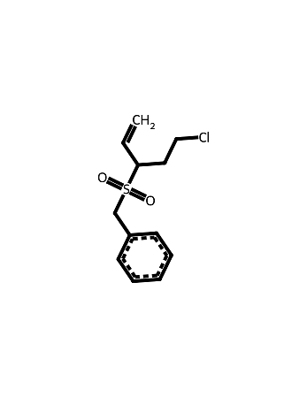 C=CC(CCCl)S(=O)(=O)Cc1ccccc1